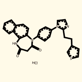 Cl.O=C1CC(=O)N(c2ccc(-n3ccnc3CCc3ccsc3)cc2)c2ccc3ccccc3c2N1